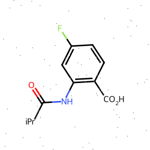 CC(C)C(=O)Nc1cc(F)ccc1C(=O)O